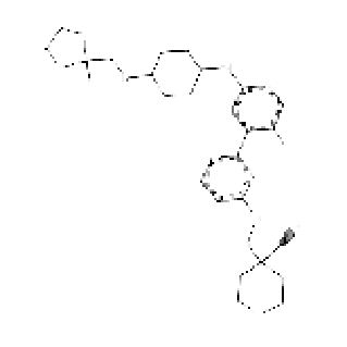 CC1(CNC2CCC(Nc3cc(-c4cccc(NCC5(C#N)CCOCC5)n4)c(Cl)cn3)CC2)OCCO1